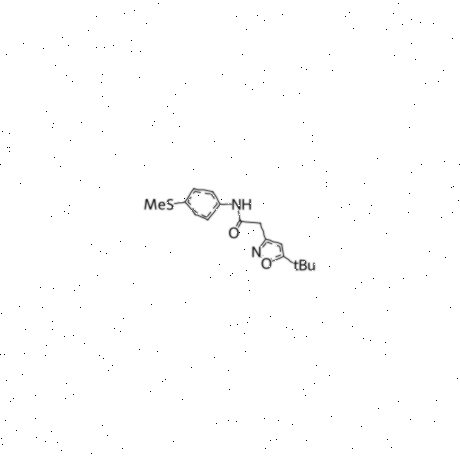 CSc1ccc(NC(=O)Cc2cc(C(C)(C)C)on2)cc1